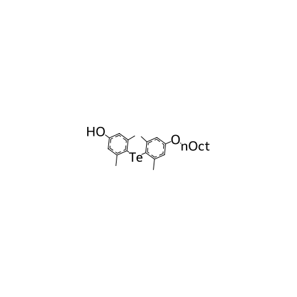 CCCCCCCCOc1cc(C)c([Te]c2c(C)cc(O)cc2C)c(C)c1